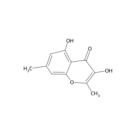 Cc1cc(O)c2c(=O)c(O)c(C)oc2c1